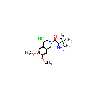 COc1cc2c(cc1OC)CN(C(=O)C(N)C(C)(C)C)CC2.Cl